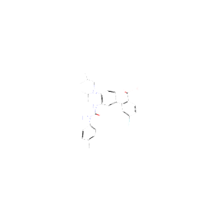 Cc1ccc(NC(=O)Nc2cc(-c3cc(F)ccc3C(=O)O)ccc2N(CC(C)C)C(C)C)cc1